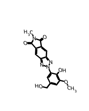 COc1cc(CO)cc(-n2nc3cc4c(cc3n2)C(=O)N(C)C4=O)c1O